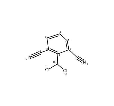 N#Cc1cccc(C#N)c1C(Cl)Cl